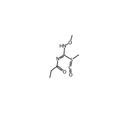 CCC(=O)N=C(NOC)S(C)=C=O